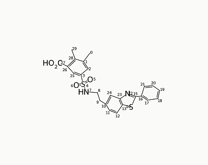 Cc1cc(S(=O)(=O)NCCc2ccc3sc(-c4ccccc4)nc3c2)cc(C(=O)O)c1C